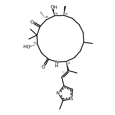 C/C(=C\c1csc(C)n1)[C@@H]1CCC(C)CCC[C@H](C)[C@H](O)[C@@H](C)C(=O)C(C)(C)[C@@H](O)CC(=O)N1